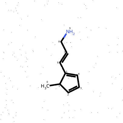 CC1C=CC=C1/C=C/CN